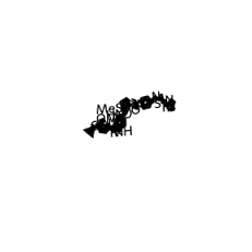 COc1nc(-c2n[nH]c3ccc(NC(=O)[C@]4(SC)CCN(CC(=O)N5CC=C(c6ncc(-c7ncn(C)n7)s6)CC5)C4)cc23)ccc1OC1CC1